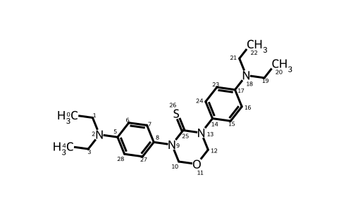 CCN(CC)c1ccc(N2COCN(c3ccc(N(CC)CC)cc3)C2=S)cc1